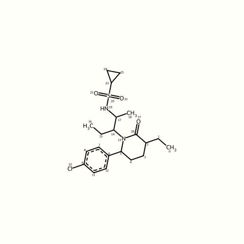 CCC1CCC(c2ccc(Cl)cc2)N(C(CC)C(C)NS(=O)(=O)C2CC2)C1=O